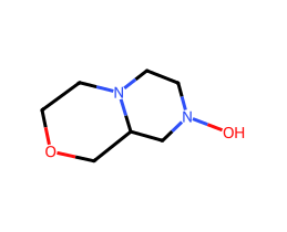 ON1CCN2CCOCC2C1